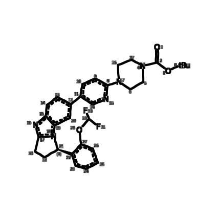 CC(C)(C)OC(=O)N1CCN(c2ccc(-c3ccc4nc5n(c4c3)[C@@H](c3ccccc3OC(F)F)CC5)cn2)CC1